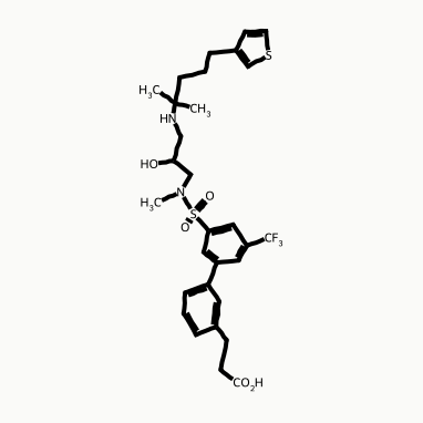 CN(CC(O)CNC(C)(C)CCCc1ccsc1)S(=O)(=O)c1cc(-c2cccc(CCC(=O)O)c2)cc(C(F)(F)F)c1